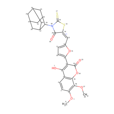 COc1ccc2c(O)c(-c3ccc(/C=C4/SC(=S)N(C5C6CC7CC(C6)CC5C7)C4=O)o3)c(=O)oc2c1OC